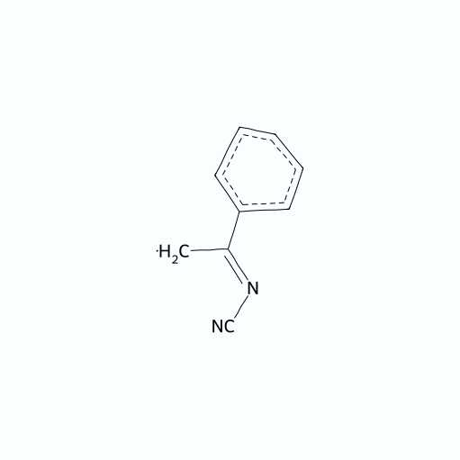 [CH2]C(=NC#N)c1ccccc1